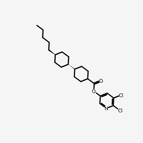 CCCCC[C@H]1CC[C@H](C2CCC(C(=O)Oc3cnc(Cl)c(Cl)c3)CC2)CC1